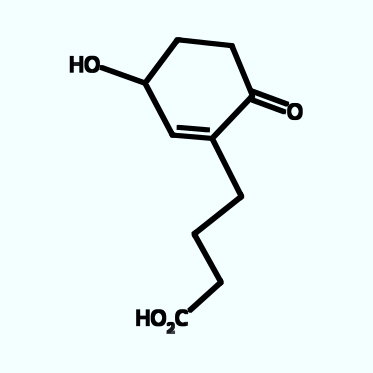 O=C(O)CCCC1=CC(O)CCC1=O